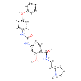 COc1cc(NC(=O)Nc2ccc(Oc3ccccc3)cc2)ccc1C(=O)NCCC1CCCN1C